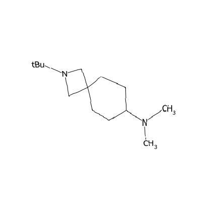 CN(C)C1CCC2(CC1)CN(C(C)(C)C)C2